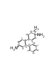 CC1(N)C=CC(c2ccc(N)cc2-c2ccccc2)=CC1